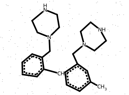 Cc1cccc(CN2CCNCC2)c1.Cc1ccccc1CN1CCNCC1